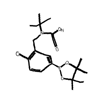 CC(C)(C)N(Cc1cc(B2OC(C)(C)C(C)(C)O2)ccc1Cl)C(=O)O